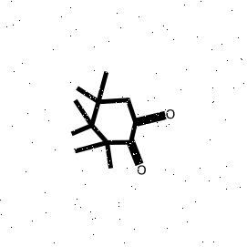 CC1(C)CC(=O)C(=O)C(C)(C)C1(C)C